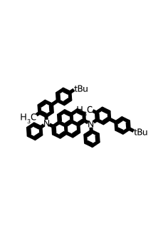 Cc1ccc(-c2ccc(C(C)(C)C)cc2)cc1N(c1ccccc1)c1ccc2ccc3c(N(c4ccccc4)c4cc(-c5ccc(C(C)(C)C)cc5)ccc4C)ccc4ccc1c2c43